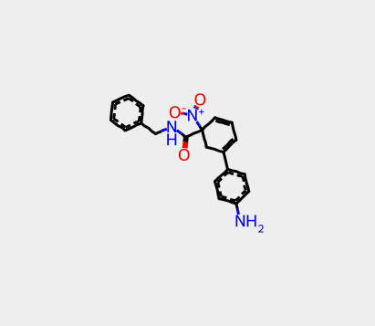 Nc1ccc(C2=CC=CC(C(=O)NCc3ccccc3)([N+](=O)[O-])C2)cc1